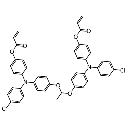 C=CC(=O)Oc1ccc(N(c2ccc(Cl)cc2)c2ccc(OC(C)Oc3ccc(N(c4ccc(Cl)cc4)c4ccc(OC(=O)C=C)cc4)cc3)cc2)cc1